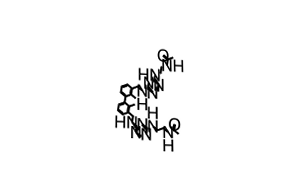 CC(=O)NCCNc1ncnc(NCc2cccc(-c3cccc(CNc4ncnc(NCCNC(C)=O)n4)c3C)c2C)n1